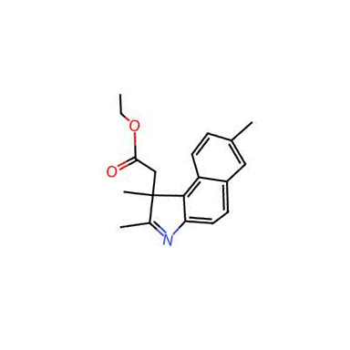 CCOC(=O)CC1(C)C(C)=Nc2ccc3cc(C)ccc3c21